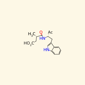 CC(=O)[C@H](Cc1c[nH]c2ccccc12)NC(=O)[C@@H](C)CC(=O)O